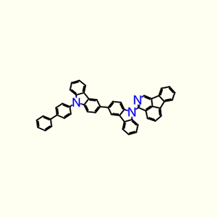 c1ccc(-c2ccc(-n3c4ccccc4c4cc(-c5ccc6c(c5)c5ccccc5n6-c5ncc6c7c(cccc57)-c5ccccc5-6)ccc43)cc2)cc1